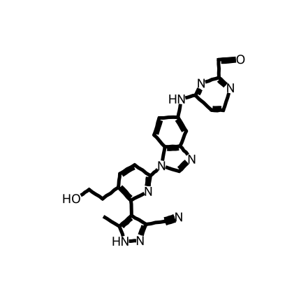 Cc1[nH]nc(C#N)c1-c1nc(-n2cnc3cc(Nc4ccnc(C=O)n4)ccc32)ccc1CCO